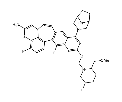 COCC1CCC(F)CN1COc1nc(N2CC3CCC(C2)N3)c2cc3c(c(F)c2n1)-c1ccc(F)c2c1C(C=C3)C=C(N)S2